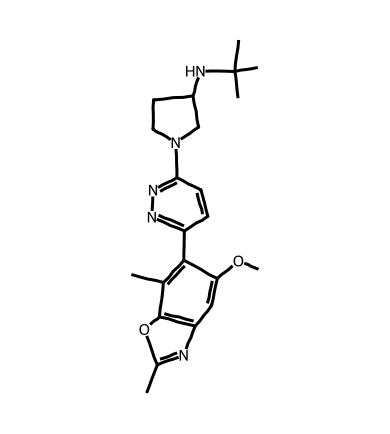 COc1cc2nc(C)oc2c(C)c1-c1ccc(N2CCC(NC(C)(C)C)C2)nn1